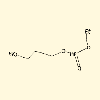 [CH2]CO[PH](=O)OCCCO